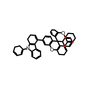 C1=CCCC(n2c3c(c4ccccc42)C(c2ccc4c(c2)OC2=C(C(C5=CCCCC5)=CCC2)C42C4=C(CCC=C4)OC4=CC=CCC42)=CCC3)=C1